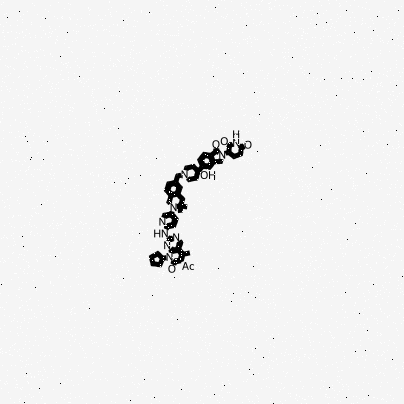 CC(=O)c1c(C)c2cnc(Nc3ccc(N4Cc5ccc(CN6CCC(O)(c7ccc8c(c7)CN(C7CCC(=O)NC7=O)C8=O)CC6)cc5CC4(C)C)cn3)nc2n(C2CCCC2)c1=O